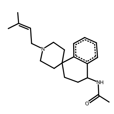 CC(=O)NC1CCC2(CCN(CC=C(C)C)CC2)c2ccccc21